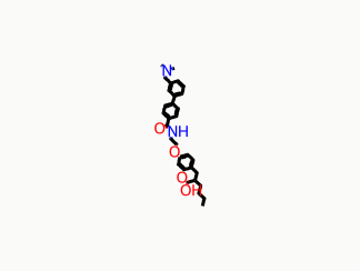 CCCCC(Cc1ccc(OCCNC(=O)c2ccc(-c3cccc(CN(C)C)c3)cc2)cc1)C(=O)O